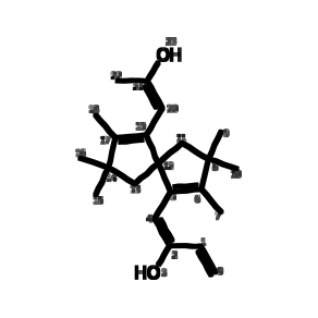 C=C/C(O)=C\C1=C(C)C(C)(C)CC12CC(C)(C)C(C)=C2/C=C(\C)O